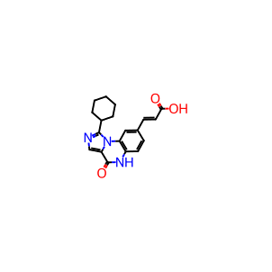 O=C(O)/C=C/c1ccc2[nH]c(=O)c3cnc(C4CCCCC4)n3c2c1